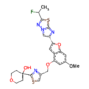 COc1cc(OCc2csc(C3(O)CCOCC3)n2)c2cc(-c3cn4nc(C(C)F)sc4n3)oc2c1